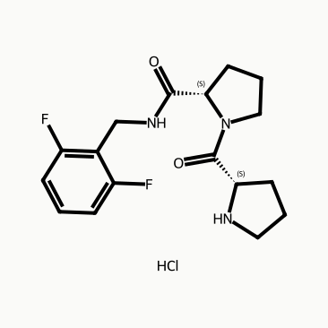 Cl.O=C(NCc1c(F)cccc1F)[C@@H]1CCCN1C(=O)[C@@H]1CCCN1